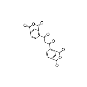 O=C1OC(=O)c2cc1ccc2C(=O)CC(=O)c1ccc2cc1C(=O)OC2=O